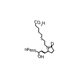 CCCCCC(O)C=CC1CCC(=O)N1CCSCCCCC(=O)O